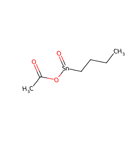 CCC[CH2][Sn](=[O])[O]C(C)=O